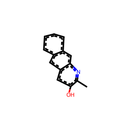 Cc1nc2cc3ccccc3cc2cc1O